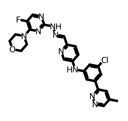 Cc1cnnc(-c2cc(Cl)cc(Nc3ccc(/C=N/Nc4ncc(F)c(N5CCOCC5)n4)nc3)c2)c1